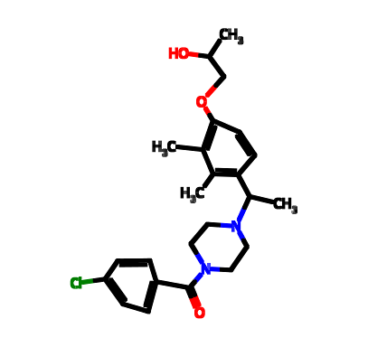 Cc1c(OCC(C)O)ccc(C(C)N2CCN(C(=O)c3ccc(Cl)cc3)CC2)c1C